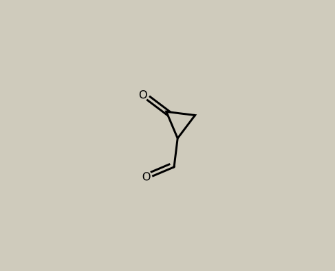 O=CC1CC1=O